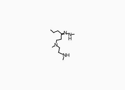 CCC/C(CCN(C)CCNC)=N/NC